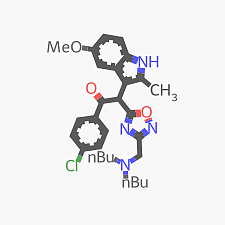 CCCCN(CCCC)Cc1noc(C(C(=O)c2ccc(Cl)cc2)c2c(C)[nH]c3ccc(OC)cc23)n1